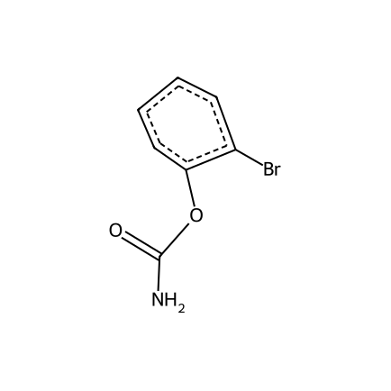 NC(=O)Oc1ccccc1Br